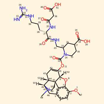 COc1ccc2c3c1O[C@H]1C(OC(=O)N4CCC(C(=O)O)CC4CNC(=O)[C@H](CCCNC(=N)N)NC(=O)CC(=O)O)=CC[C@H]4[C@@H](C2)N(C)CC[C@]314